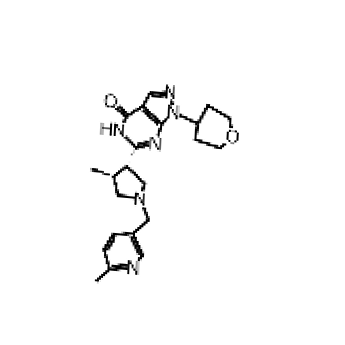 Cc1ccc(CN2C[C@@H](C)[C@H](c3nc4c(cnn4C4CCOCC4)c(=O)[nH]3)C2)cn1